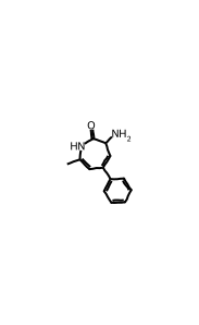 CC1=CC(c2ccccc2)=CC(N)C(=O)N1